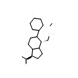 C[C@]12CCC([C@@]3(Cl)CC[C@H](O)C[C@@H]3CO)[C@@H](CN)C1CCC2=C(F)F